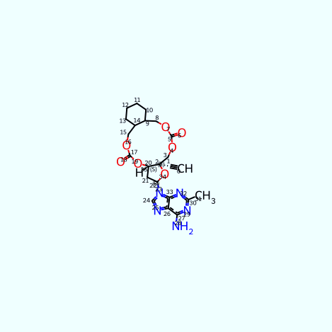 C#C[C@@]12COC(=O)OCC3CCCCC3COC(=O)O[C@H]1C[C@H](n1cnc3c(N)nc(C)nc31)O2